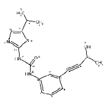 CC(O)C#Cc1cccc(NC(=O)Nc2ncc(C(C)C)s2)c1